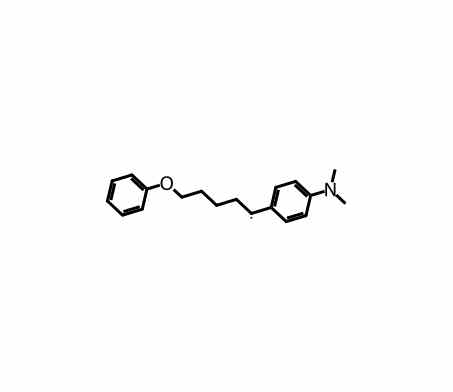 CN(C)c1ccc([CH]CCCCOc2ccccc2)cc1